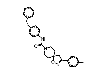 Cc1ccc(C2=NOC3(CCN(C(=O)Nc4ccc(Oc5ccccc5)cc4)CC3)C2)cc1